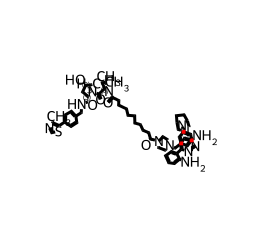 Cc1ncsc1-c1ccc(CNC(=O)[C@@H]2C[C@@H](O)CN2C(=O)[C@@H](NC(=O)CCCCCCCCCC(=O)N2CCN(Cc3cccc(N4C5CCC4CN(c4cc(-c6ccccc6N)nnc4N)C5)c3)CC2)C(C)(C)C)cc1